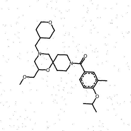 COCC1CN(CC2CCOCC2)CC2(CCN(C(=O)c3ccc(OC(C)C)c(C)c3)CC2)O1